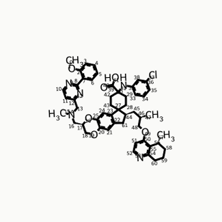 COc1ccccc1-c1nccc(CN(C)C[C@@H]2COc3cc4c(cc3O2)C2(CCC(Nc3cccc(Cl)c3)(C(=O)O)CC2)[C@@H](C[C@@H](C)COc2ccnc3c2[C@H](C)CCC3)C4)n1